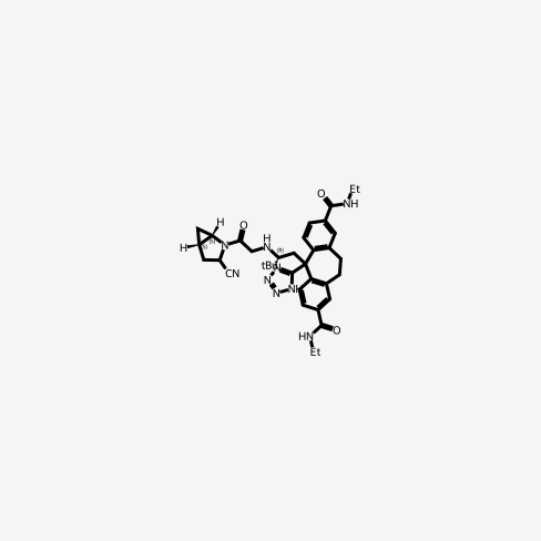 CCNC(=O)c1ccc2c(c1)CCc1cc(C(=O)NCC)ccc1C2(C[C@@H](NCC(=O)N1C(C#N)C[C@@H]2C[C@@H]21)C(C)(C)C)c1nnn[nH]1